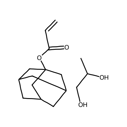 C=CC(=O)OC12CC3CC(CC(C3)C1)C2.CC(O)CO